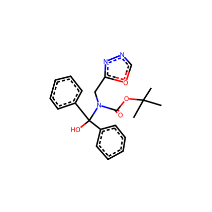 CC(C)(C)OC(=O)N(Cc1nnco1)C(O)(c1ccccc1)c1ccccc1